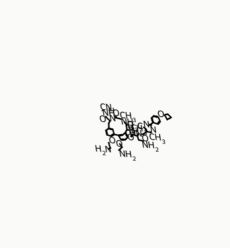 Cc1nc(-c2ccc(OC3CCC3)cc2)nc(C)c1C(=O)NC(CCN)C(=O)N(C)C1C(=O)NC(C)C(=O)NC(C(=O)NCC#N)Cc2ccc(OCCN)c(c2)-c2cc1ccc2OCCN